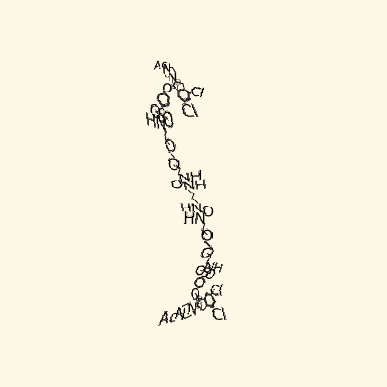 CC(=O)N1CCN([C@H]2Cc3c(Cl)cc(Cl)cc3[C@@H]2Oc2ccc(S(=O)(=O)NCCOCCOCCNC(=O)NCCCCNC(=O)NCCOCCOCCNS(=O)(=O)c3ccc(O[C@H]4c5cc(Cl)cc(Cl)c5C[C@@H]4N4CCN(C(C)=O)CC4)cc3)cc2)CC1